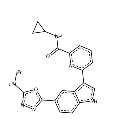 CC(C)Nc1nnc(-c2ccc3[nH]cc(-c4cccc(C(=O)NC5CC5)n4)c3c2)o1